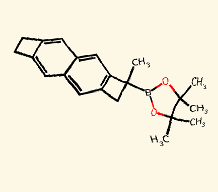 CC1(B2OC(C)(C)C(C)(C)O2)Cc2cc3cc4c(cc3cc21)CC4